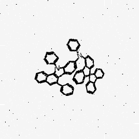 c1ccc(-c2cc3ccccc3c3c2c2ccc(N(c4ccccc4)c4cccc5c4-c4ccccc4C54c5ccccc5-c5ccccc54)cc2n3-c2ccccc2)cc1